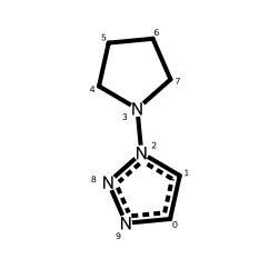 c1cn(N2CCCC2)nn1